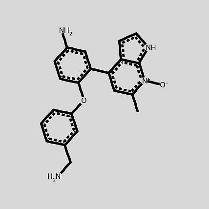 Cc1cc(-c2cc(N)ccc2Oc2cccc(CN)c2)c2cc[nH]c2[n+]1[O-]